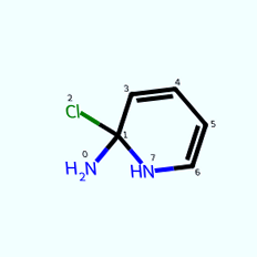 NC1(Cl)C=CC=CN1